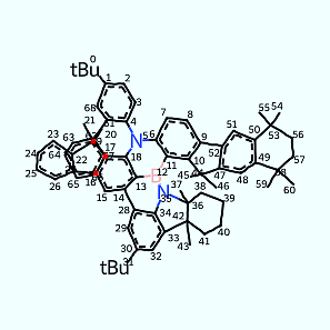 CC(C)(C)c1ccc(N2c3ccc4c(c3B3c5c(cc6c(c52)C(C)(C)c2ccccc2-6)-c2cc(C(C)(C)C)cc5c2N3C2(C)CCCCC52C)C(C)(C)c2cc3c(cc2-4)C(C)(C)CCC3(C)C)c(-c2ccccc2)c1